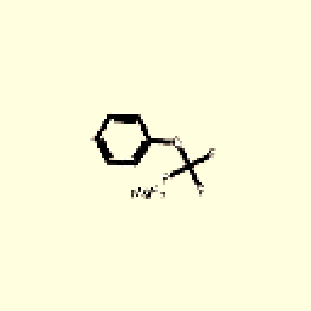 FC(F)(F)Oc1cc[c]cc1.[MgH2]